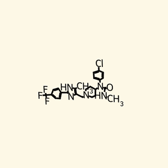 CNC(=O)N(c1ccc(Cl)cc1)C1CCN(Cc2nc(-c3ccc(C(F)(F)F)cc3)[nH]c2C)CC1